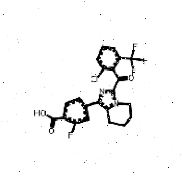 O=C(O)c1ccc(-c2nc(C(=O)c3c(Cl)cccc3C(F)(F)F)n3c2CCCC3)cc1F